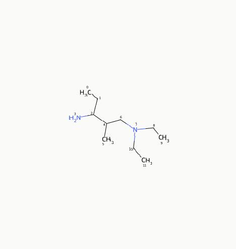 CCC(N)C(C)CN(CC)CC